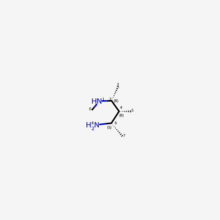 CN[C@H](C)[C@H](C)[C@H](C)N